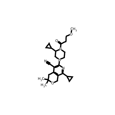 COCCC(=O)N1CCN(c2nc(C3CC3)c3c(c2C#N)CC(C)(C)OC3)CC1C1CC1